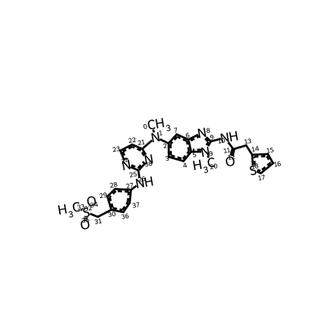 CN(c1ccc2c(c1)nc(NC(=O)Cc1cccs1)n2C)c1ccnc(Nc2ccc(CS(C)(=O)=O)cc2)n1